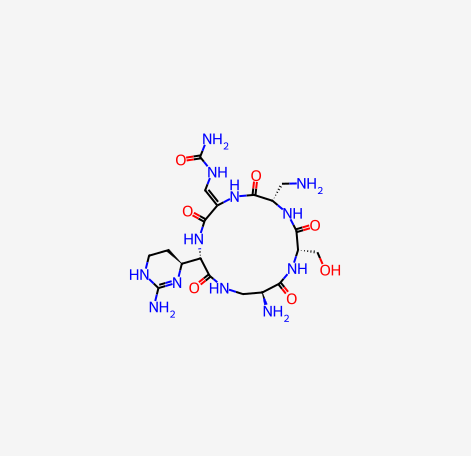 NC[C@@H]1NC(=O)[C@H](CO)NC(=O)[C@@H](N)CNC(=O)[C@H]([C@@H]2CCNC(N)=N2)NC(=O)/C(=C/NC(N)=O)NC1=O